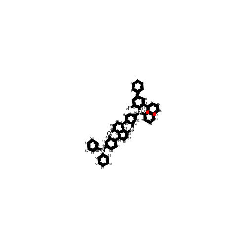 Fc1cc(-c2ccccc2)cc(-c2ccccc2)c1N(c1ccccc1)c1ccc2c(c1)Oc1ccc3c4c(ccc-2c14)Oc1cc(N(c2ccccc2)c2ccccc2)ccc1-3